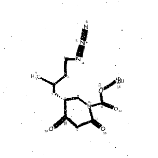 CC(CCN=[N+]=[N-])C[C@@H]1CN(C(=O)OC(C)(C)C)C(=O)CC1=O